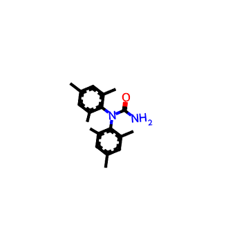 Cc1cc(C)c(N(C(N)=O)c2c(C)cc(C)cc2C)c(C)c1